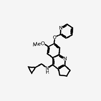 COc1cc2c(NCC3CC3)c3c(nc2cc1Oc1ccccn1)CCC3